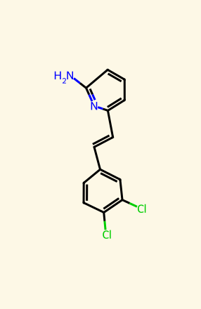 Nc1cccc(/C=C/c2ccc(Cl)c(Cl)c2)n1